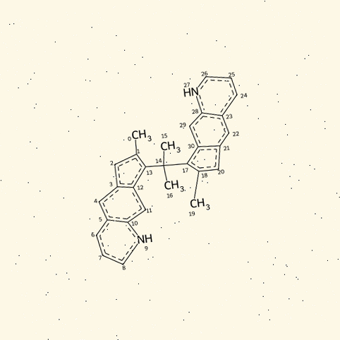 Cc1cc2cc3ccc[nH]c3cc2c1C(C)(C)c1c(C)cc2cc3ccc[nH]c3cc12